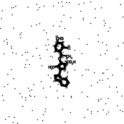 Cc1c(-c2cnc3ccccn23)sc(C(=O)O)c1O[C@H](C)c1ccc(C=O)cc1Cl